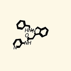 O=C(CC1c2ccccc2CN1NCc1ccccc1)Nc1cccnc1